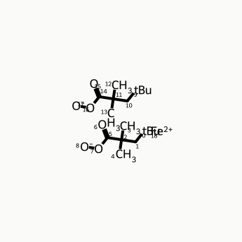 CC(C)(C)CC(C)(C)C(=O)O[O-].CC(C)(C)CC(C)(C)C(=O)O[O-].[Fe+2]